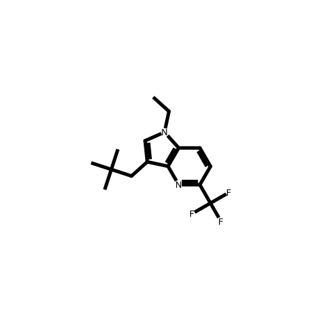 CCn1cc(CC(C)(C)C)c2nc(C(F)(F)F)ccc21